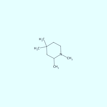 CC1CC(C)(C)CCN1C